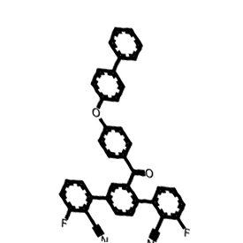 N#Cc1c(F)cccc1-c1ccc(-c2cccc(F)c2C#N)c(C(=O)c2ccc(Oc3ccc(-c4ccccc4)cc3)cc2)c1